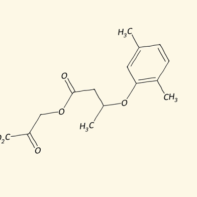 Cc1ccc(C)c(OC(C)CC(=O)OCC(=O)C(=O)O)c1